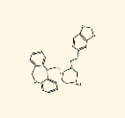 Cl.c1ccc2c(c1)COc1ccccc1N2C[C@H]1CCCCN1CCc1ccc2c(c1)OCO2